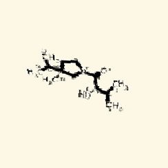 CC(C)[C@H](O)C(=O)N1CC[C@](C)(C(C)C)C1